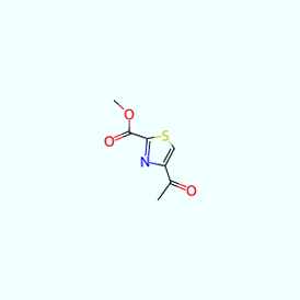 COC(=O)c1nc(C(C)=O)cs1